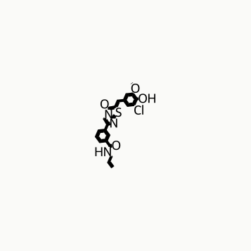 C=CCNC(=O)c1cccc(-c2cn3c(=O)/c(=C/c4cc(Cl)c(O)c(OC)c4)sc3n2)c1